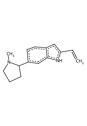 C=Cc1cc2ccc(C3CCCN3C)cc2[nH]1